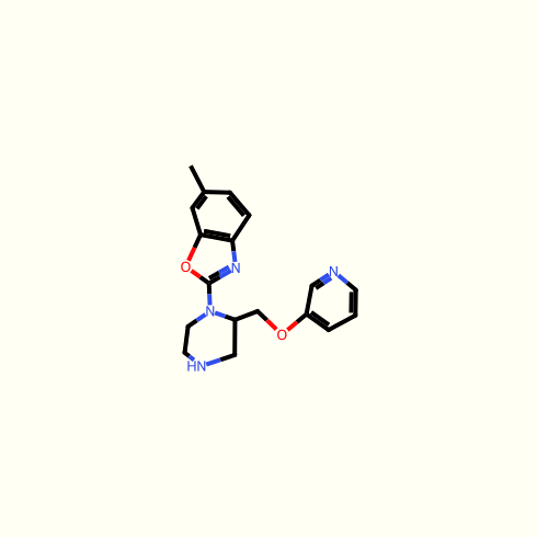 Cc1ccc2nc(N3CCNCC3COc3cccnc3)oc2c1